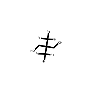 [2H]C([2H])([2H])C(CO)(CO)C([2H])([2H])[2H]